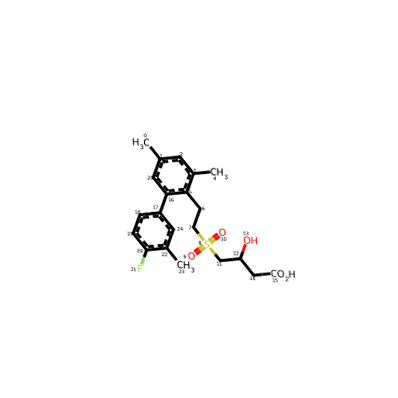 Cc1cc(C)c(CCS(=O)(=O)CC(O)CC(=O)O)c(-c2ccc(F)c(C)c2)c1